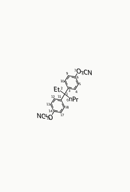 CCCC(CC)(c1ccc(OC#N)cc1)c1ccc(OC#N)cc1